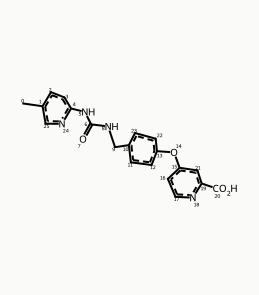 Cc1ccc(NC(=O)NCc2ccc(Oc3ccnc(C(=O)O)c3)cc2)nc1